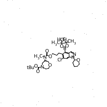 CN(C(=O)OCCCc1c(Cl)cc2c(cnn2C2CCCCO2)c1B1OC(C)(C)C(C)(C)O1)[C@@H]1COCCN(C(=O)OC(C)(C)C)C1